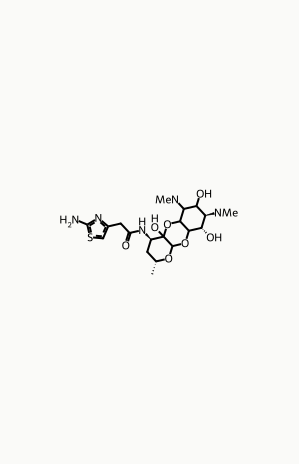 CNC1C2OC3(O)C(OC2[C@@H](O)[C@H](NC)C1O)O[C@H](C)C[C@H]3NC(=O)Cc1csc(N)n1